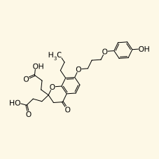 CCCc1c(OCCCOc2ccc(O)cc2)ccc2c1OC(CCC(=O)O)(CCC(=O)O)CC2=O